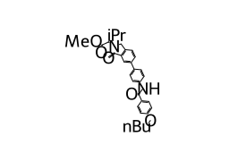 CCCCOc1ccc(C(=O)Nc2ccc(-c3ccc4c(c3)C(=O)N(C(C(=O)OC)C(C)C)C4)cc2)cc1